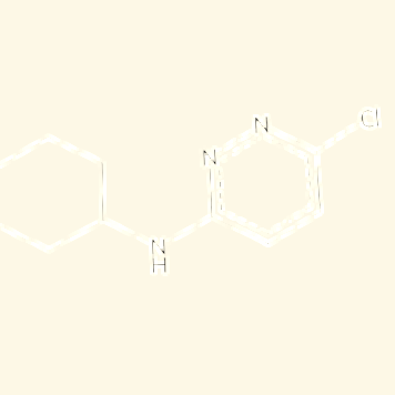 Clc1ccc(NC2CCCCC2)nn1